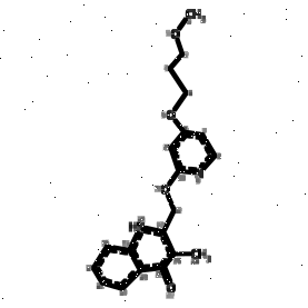 COCCCOc1ccnc(OCc2[nH]c3ccccc3c(=O)c2C)c1